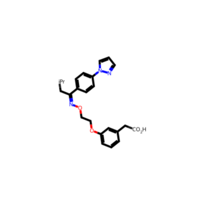 CC(C)CC(=NOCCOc1cccc(CC(=O)O)c1)c1ccc(-n2cccn2)cc1